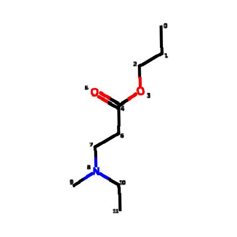 CCCOC(=O)CCN(C)CC